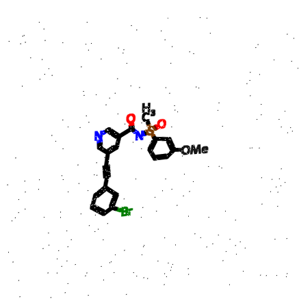 COc1cccc(S(C)(=O)=NC(=O)c2cncc(C#Cc3cccc(Br)c3)c2)c1